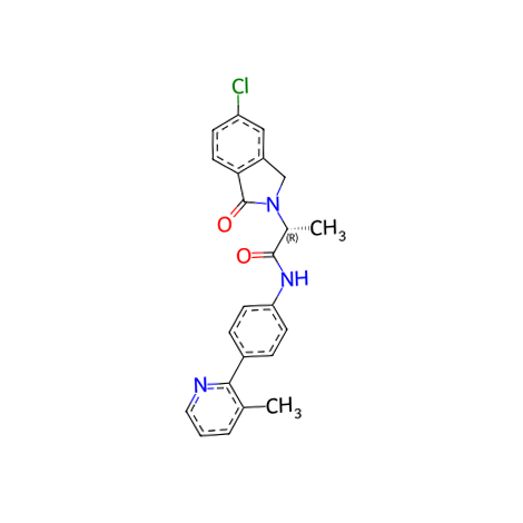 Cc1cccnc1-c1ccc(NC(=O)[C@@H](C)N2Cc3cc(Cl)ccc3C2=O)cc1